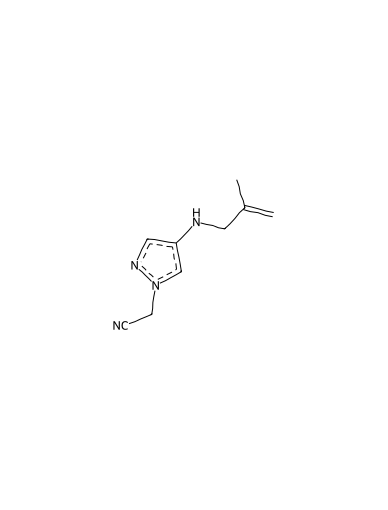 C=C(C)CNc1cnn(CC#N)c1